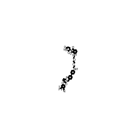 CC1(C)CN(Cc2ccc(-c3ccc(NCCOCCOCCNc4cccc5c4C(=O)N(C4CCC(=O)NC4=O)C5=O)cc3)cc2F)C(=O)C1Oc1ccc(C#N)c(C(F)(F)F)c1